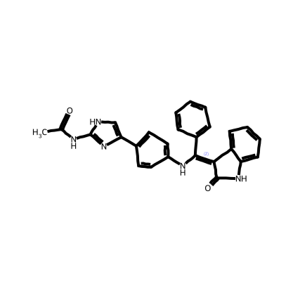 CC(=O)Nc1nc(-c2ccc(N/C(=C3\C(=O)Nc4ccccc43)c3ccccc3)cc2)c[nH]1